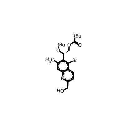 Cc1cc2nc(CO)ccc2c(Br)c1[C@@H](COC(=O)C(C)(C)C)OC(C)(C)C